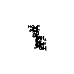 N[C@@H](Cc1cc(I)c(O)c(I)c1)C(=O)Oc1cc(I)c(O)c(I)c1